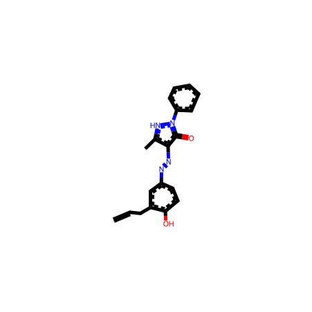 C=CCc1cc(N=Nc2c(C)[nH]n(-c3ccccc3)c2=O)ccc1O